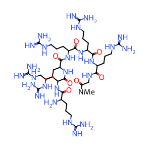 CNC(=O)CNC(=O)C(CCCNC(=N)N)NC(=O)C(CCCNC(=N)N)NC(=O)C(CCCNC(=N)N)NC(=O)C(CCCNC(=N)N)NC(=O)C(CCCNC(=N)N)NC(=O)C(N)CCCNC(=N)N